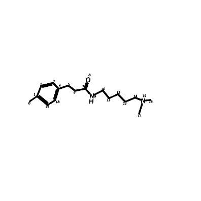 Cc1ccc(CCC(=O)NCCCCCN(C)C)cc1